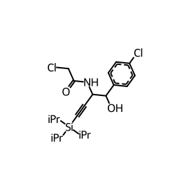 CC(C)[Si](C#CC(NC(=O)CCl)C(O)c1ccc(Cl)cc1)(C(C)C)C(C)C